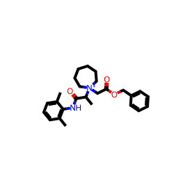 Cc1cccc(C)c1NC(=O)C(C)[N+]1(CC(=O)OCc2ccccc2)CCCCCC1